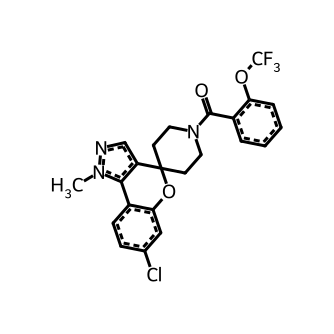 Cn1ncc2c1-c1ccc(Cl)cc1OC21CCN(C(=O)c2ccccc2OC(F)(F)F)CC1